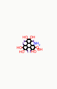 Nc1c(OO)c(O)c(I)c2c1c1c(I)c(O)c(O)c(I)c1c1c(I)c(O)c(O)c(I)c21